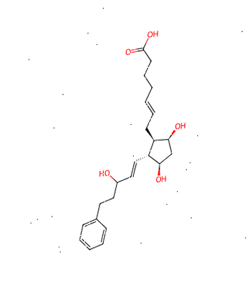 O=C(O)CCCC=CC[C@@H]1[C@@H](C=CC(O)CCc2ccccc2)[C@H](O)C[C@@H]1O